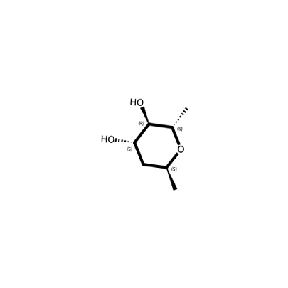 C[C@@H]1O[C@@H](C)C[C@H](O)[C@H]1O